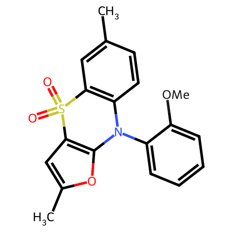 COc1ccccc1N1c2ccc(C)cc2S(=O)(=O)c2cc(C)oc21